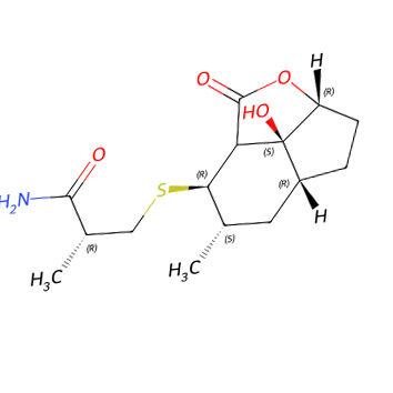 C[C@@H](CS[C@H]1C2C(=O)O[C@@H]3CC[C@H](C[C@@H]1C)[C@]23O)C(N)=O